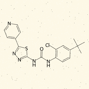 CC(C)(C)c1ccc(NC(=O)Nc2nnc(-c3ccncc3)s2)c(Cl)c1